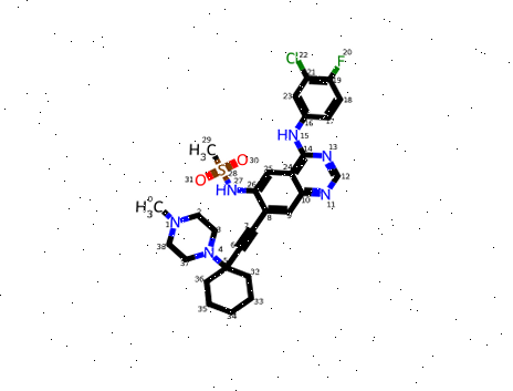 CN1CCN(C2(C#Cc3cc4ncnc(Nc5ccc(F)c(Cl)c5)c4cc3NS(C)(=O)=O)CCCCC2)CC1